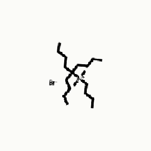 CCCCC(CCCC)(CCCC)[N+](C)(C)CCCC.[Br-]